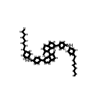 CCCCCCCCc1ccc(Nc2ccc(-c3ccc4ccc(C)c(-c5c(C)ccc6ccc(-c7ccc(Nc8ccc(CCCCCCCC)cc8)cc7)cc56)c4c3)cc2)cc1